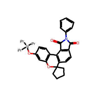 CC(C)[Si](Oc1ccc2c(c1)OC1(CCCC1)c1ccc3c(c1-2)C(=O)N(c1ccccc1)C3=O)(C(C)C)C(C)C